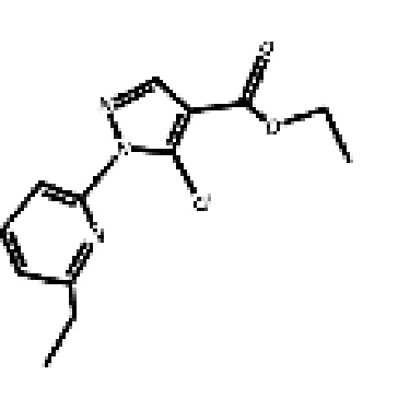 CCOC(=O)c1cnn(-c2cccc(CC)n2)c1Cl